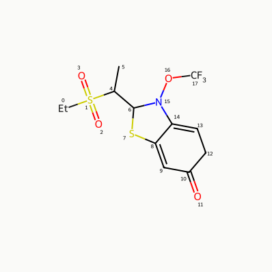 CCS(=O)(=O)C(C)C1SC2=CC(=O)CC=C2N1OC(F)(F)F